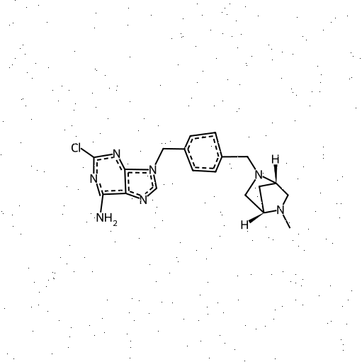 CN1C[C@@H]2C[C@H]1CN2Cc1ccc(Cn2cnc3c(N)nc(Cl)nc32)cc1